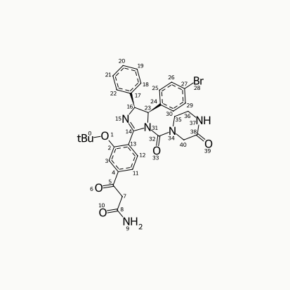 CC(C)(C)Oc1cc(C(=O)CC(N)=O)ccc1C1=N[C@@H](c2ccccc2)[C@@H](c2ccc(Br)cc2)N1C(=O)N1CCNC(=O)C1